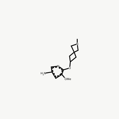 COc1cc(N)cnc1OC1CC2(C1)CN(C)C2